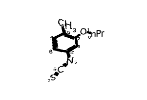 CCCOc1cc(N=C=S)ccc1C